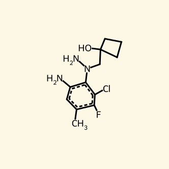 Cc1cc(N)c(N(N)CC2(O)CCC2)c(Cl)c1F